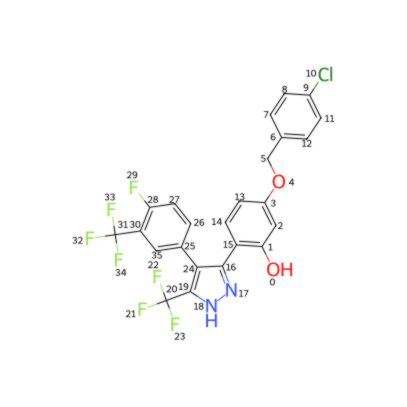 Oc1cc(OCc2ccc(Cl)cc2)ccc1-c1n[nH]c(C(F)(F)F)c1-c1ccc(F)c(C(F)(F)F)c1